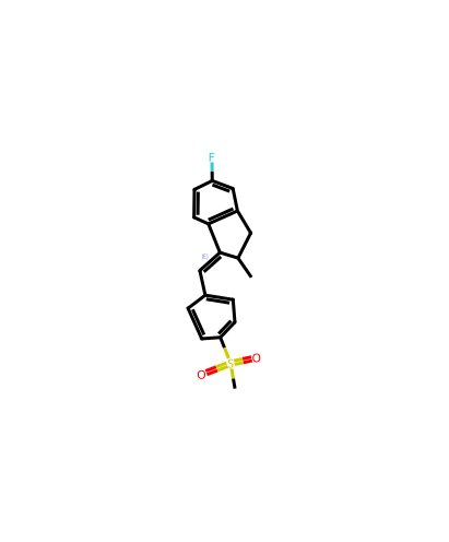 CC1Cc2cc(F)ccc2/C1=C/c1ccc(S(C)(=O)=O)cc1